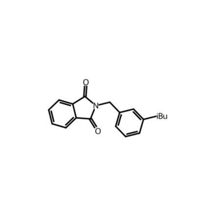 CCC(C)c1cccc(CN2C(=O)c3ccccc3C2=O)c1